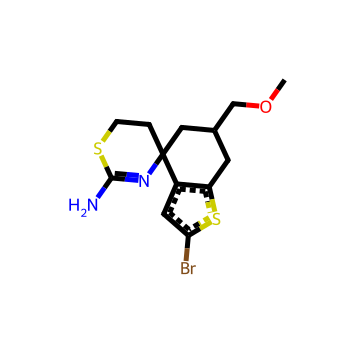 COCC1Cc2sc(Br)cc2C2(CCSC(N)=N2)C1